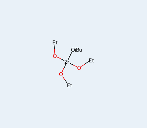 CC[O][Zr]([O]CC)([O]CC)[O]CC(C)C